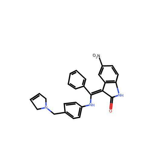 O=C1Nc2ccc([N+](=O)[O-])cc2C1=C(Nc1ccc(CN2CC=CC2)cc1)c1ccccc1